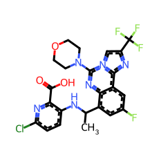 CC(Nc1ccc(Cl)nc1C(=O)O)c1cc(F)cc2c1nc(N1CCOCC1)n1cc(C(F)(F)F)nc21